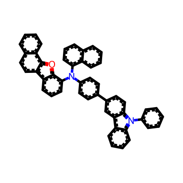 c1ccc(-n2c3ccccc3c3cc(-c4ccc(N(c5cccc6ccccc56)c5cccc6c5oc5c7ccccc7ccc65)cc4)ccc32)cc1